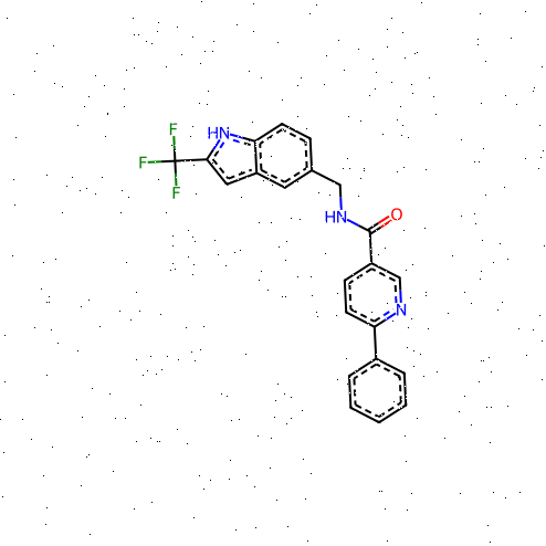 O=C(NCc1ccc2[nH]c(C(F)(F)F)cc2c1)c1ccc(-c2ccccc2)nc1